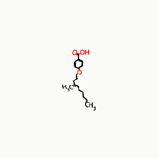 CCCCCC[C@H](C)CCCOc1ccc(C(=O)O)cc1